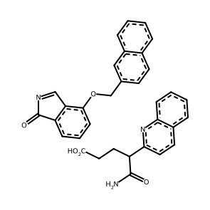 NC(=O)C(CCC(=O)O)c1ccc2ccccc2n1.O=C1N=Cc2c(OCc3ccc4ccccc4c3)cccc21